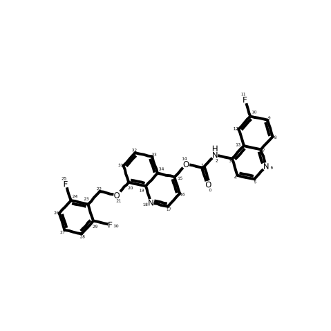 O=C(Nc1ccnc2ccc(F)cc12)Oc1ccnc2c(OCc3c(F)cccc3F)cccc12